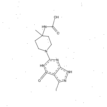 CC1(NC(=O)O)CCN(c2nc3[nH]nc(I)c3c(=O)[nH]2)CC1